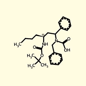 CCCC[C@@H](CC(c1ccccc1)N(Cc1ccccc1)C(=O)O)NC(=O)OC(C)(C)C